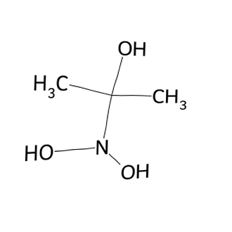 CC(C)(O)N(O)O